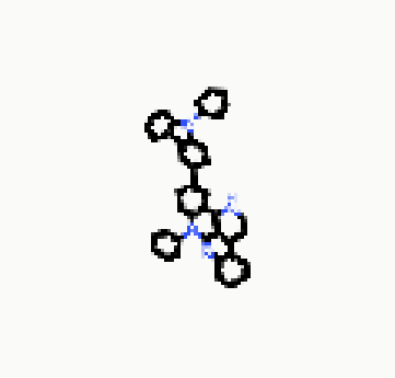 C1=c2c3c(nc4ccccc24)N(c2ccccc2)c2ccc(-c4ccc5c(c4)c4ccccc4n5-c4ccccc4)cc2C=3NC1